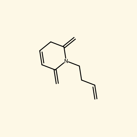 C=CCCN1C(=C)C=CCC1=C